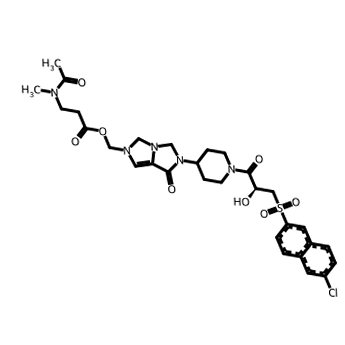 CC(=O)N(C)CCC(=O)OCN1C=C2C(=O)N(C3CCN(C(=O)[C@H](O)CS(=O)(=O)c4ccc5cc(Cl)ccc5c4)CC3)CN2C1